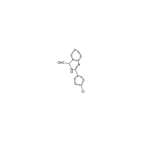 O=CC1NC(c2ccc(Cl)cc2)=Nc2ccccc21